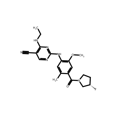 CCNc1nc(Nc2cc(C)c(C(=O)N3CC[C@H](F)C3)cc2OC)ncc1C#N